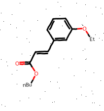 CCCCOC(=O)C=Cc1cccc(OCC)c1